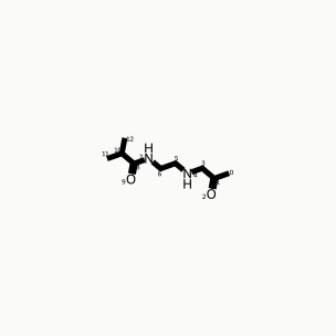 CC(=O)CNCCNC(=O)C(C)C